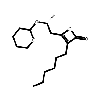 CCCCCCC1=C(C[C@@H](C)OC2CCCCO2)OC1=O